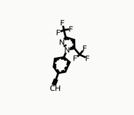 C#Cc1ccc(-n2nc(C(F)(F)F)cc2C(F)(F)F)cc1